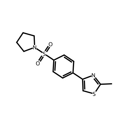 Cc1nc(-c2ccc(S(=O)(=O)N3CCCC3)cc2)cs1